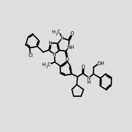 CC(c1ccc(C(C(=O)NC(CO)c2ccccc2)C2CCCC2)cc1)n1c(Cc2ccccc2Cl)nc2c1c(=O)[nH]c(=O)n2C